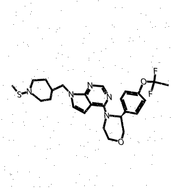 CSN1CCC(Cn2ccc3c(N4CCOC[C@@H]4c4ccc(OC(C)(F)F)cc4)ncnc32)CC1